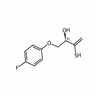 C=C(S)[C@H](O)COc1ccc(F)cc1